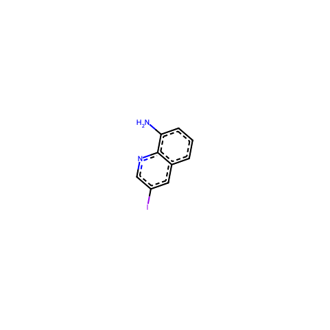 Nc1cccc2cc(I)cnc12